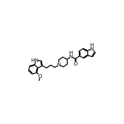 COc1cccc2[nH]cc(CCCN3CCC(NC(=O)c4ccc5[nH]ccc5c4)CC3)c12